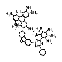 Bc1cc2c(cc1B)c1c(B)c(B)cc(B)c1c1c(B)c(-c3ccc4oc5ccc(-c6nc(-c7ccccc7)nc(-c7c(B)c(B)c(B)c(B)c7B)n6)cc5c4c3)c(B)cc21